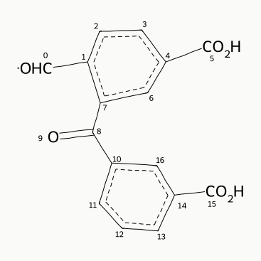 O=[C]c1ccc(C(=O)O)cc1C(=O)c1cccc(C(=O)O)c1